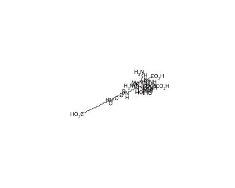 CN[C@@H](CCCCN)C(=O)N[C@@H](CCC(=O)O)C(=O)N[C@@H](CCC(=O)O)C(=O)N[C@@H](CO)C(=O)N[C@@H](CO)C(=O)N[C@@H](CCC(=O)O)C(=O)N[C@@H](CCCCNC(=O)COCCOCCNC(=O)CCCCCCCCCCCCCCCC(=O)O)C(N)=O